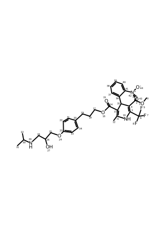 COC(=O)C1=C(C(F)(F)F)NC(C)=C(C(=O)OCCCc2ccc(OCC(O)CNC(C)C)cc2)C1c1ccccc1[N+](=O)[O-]